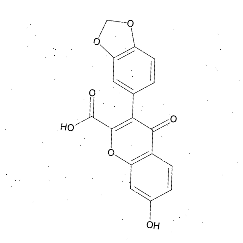 O=C(O)c1oc2cc(O)ccc2c(=O)c1-c1ccc2c(c1)OCO2